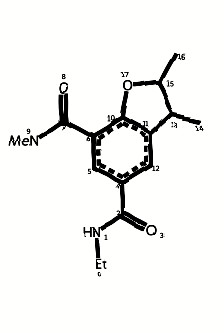 CCNC(=O)c1cc(C(=O)NC)c2c(c1)C(C)C(C)O2